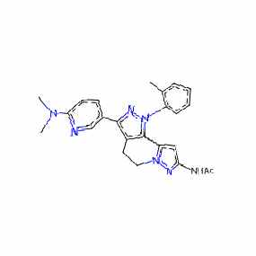 CC(=O)Nc1cc2n(n1)CCc1c(-c3ccc(N(C)C)nc3)nn(-c3ccccc3C)c1-2